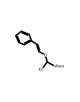 CCCCCC(CC)OC=Cc1ccccc1